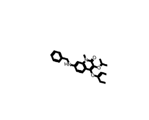 CC=C(CC)Oc1c(OC(C)C)c(=O)n(C)c2cc(NCc3ccccc3)ccc12